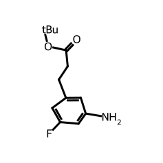 CC(C)(C)OC(=O)CCc1cc(N)cc(F)c1